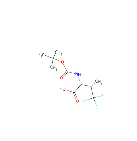 CC([C@@H](NC(=O)OC(C)(C)C)C(=O)O)C(F)(F)F